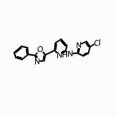 Clc1ccc(Nc2cccc(-c3cnc(-c4ccccc4)o3)n2)nc1